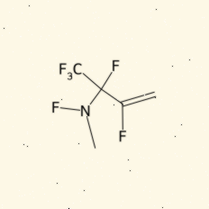 C=C(F)C(F)(N(C)F)C(F)(F)F